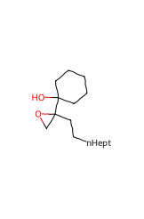 CCCCCCCCCC1(C2(O)CCCCC2)CO1